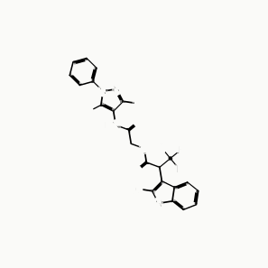 Cc1nn(-c2ccccc2)c(C)c1NC(=O)COC(=O)C(c1c(C)[nH]c2ccccc12)C(F)(F)F